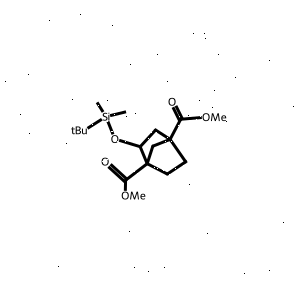 COC(=O)C12CCC(C(=O)OC)(C1)C(O[Si](C)(C)C(C)(C)C)C2